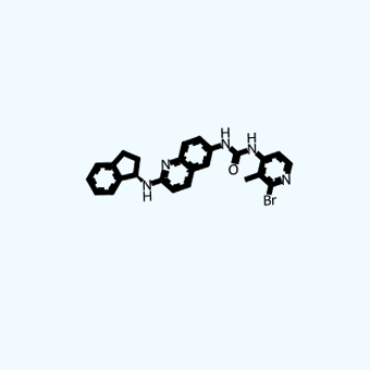 Cc1c(NC(=O)Nc2ccc3nc(N[C@@H]4CCc5ccccc54)ccc3c2)ccnc1Br